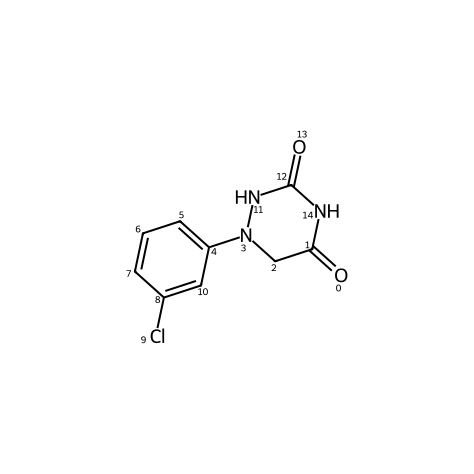 O=C1CN(c2cccc(Cl)c2)NC(=O)N1